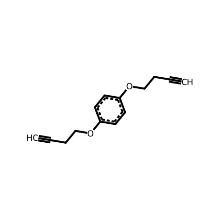 C#CCCOc1ccc(OCCC#C)cc1